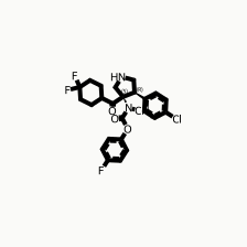 CN(C(=O)Oc1ccc(F)cc1)[C@]1(C(=O)C2CCC(F)(F)CC2)CNC[C@H]1c1ccc(Cl)cc1